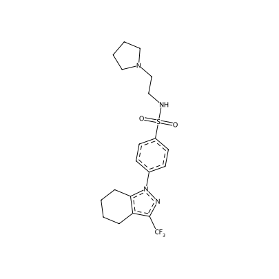 O=S(=O)(NCCN1CCCC1)c1ccc(-n2nc(C(F)(F)F)c3c2CCCC3)cc1